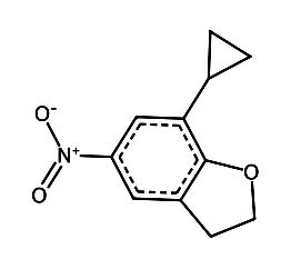 O=[N+]([O-])c1cc2c(c(C3CC3)c1)OCC2